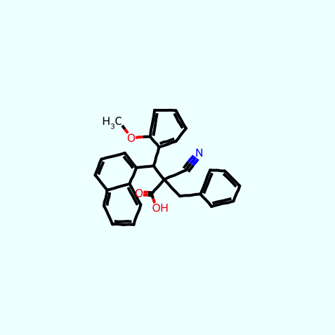 COc1ccccc1C(c1cccc2ccccc12)C(C#N)(Cc1ccccc1)C(=O)O